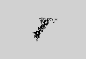 Cc1cc(-c2nc3cn([C@@H]4CCN(C(=O)O)C(C(C)(C)C)[C@H]4F)nc3s2)cc2cn(C)nc12